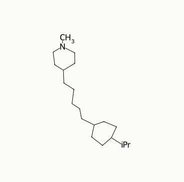 CC(C)C1CCC(CCCCCC2CCN(C)CC2)CC1